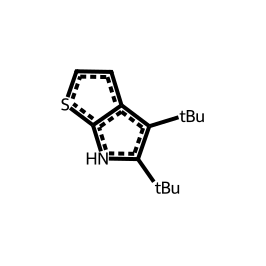 CC(C)(C)c1[nH]c2sccc2c1C(C)(C)C